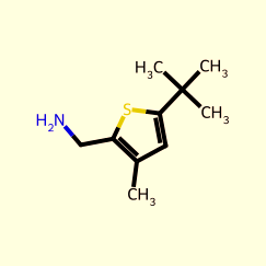 Cc1cc(C(C)(C)C)sc1CN